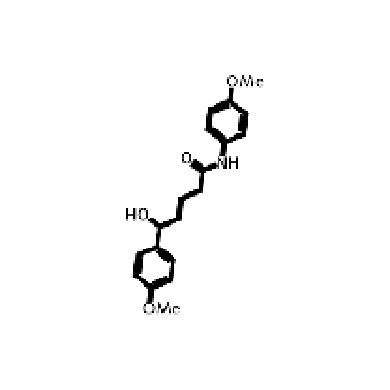 COc1ccc(NC(=O)CCCC(O)c2ccc(OC)cc2)cc1